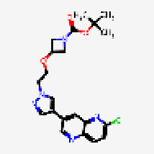 CC(C)(C)OC(=O)N1CC(OCCn2cc(-c3cnc4ccc(Cl)nc4c3)cn2)C1